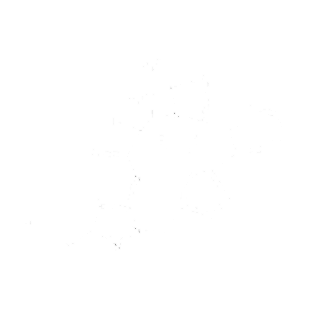 CCc1nn(Cc2ccc(-c3ccccc3S(=O)(=O)NC(C)(C)C)cc2)c(=NC(=O)C(F)(F)F)s1